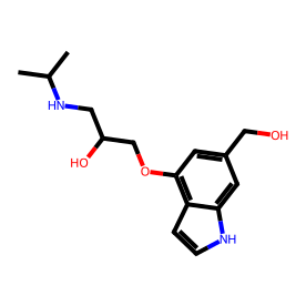 CC(C)NCC(O)COc1cc(CO)cc2[nH]ccc12